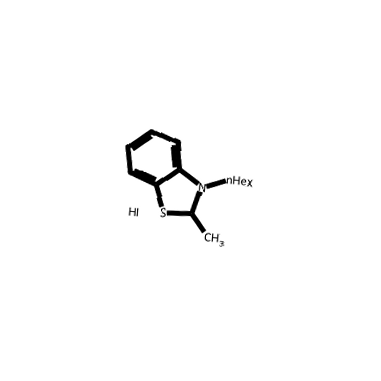 CCCCCCN1c2ccccc2SC1C.I